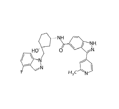 Cc1cc(-c2n[nH]c3ccc(C(=O)N[C@H]4CCC[C@](O)(Cn5ncc6c(F)cccc65)C4)cc23)ccn1